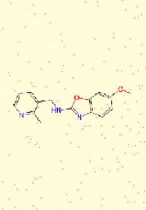 COc1ccc2nc(NCc3cccnc3C)oc2c1